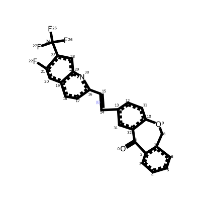 O=C1c2ccccc2COc2ccc(/C=C/c3ccc4cc(F)c(C(F)(F)F)cc4n3)cc21